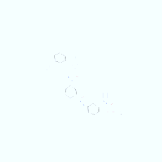 CC(C)(C)OC(=O)Nc1c(F)ccc(NC(=O)c2cc(NC(=O)C3C(c4cc(F)cc(C(F)(F)F)c4)C3(Cl)Cl)ccc2F)c1F